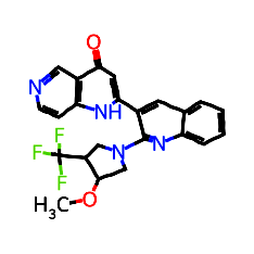 COC1CN(c2nc3ccccc3cc2-c2cc(=O)c3cnccc3[nH]2)CC1C(F)(F)F